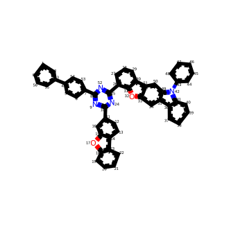 c1ccc(-c2ccc(-c3nc(-c4ccc5c(c4)oc4ccccc45)nc(-c4cccc5c4oc4cc6c7ccccc7n(-c7ccccc7)c6cc45)n3)cc2)cc1